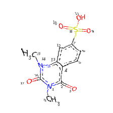 Cn1c(=O)c2ccc(S(=O)(=O)O)cc2n(C)c1=O